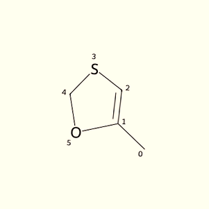 CC1=CSCO1